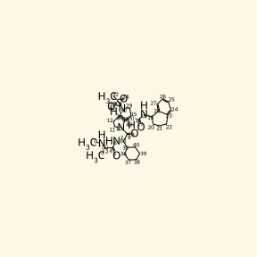 CN[C@@H](C)C(=O)N[C@H](C(=O)N1CC[C@@H]2[C@H]1[C@@H](C(=O)NC1CCCc3ccccc31)CN2S(C)(=O)=O)C1CCCCC1